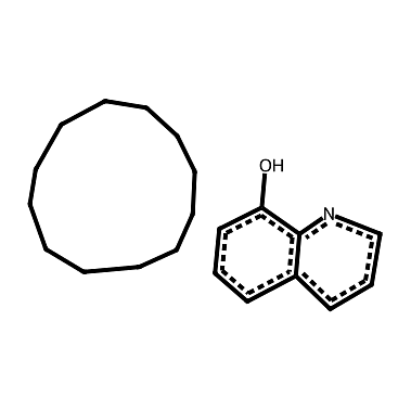 C1CCCCCCCCCCC1.Oc1cccc2cccnc12